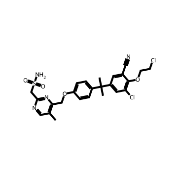 Cc1cnc(CS(N)(=O)=O)nc1COc1ccc(C(C)(C)c2cc(Cl)c(OCCCl)c(C#N)c2)cc1